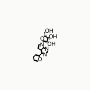 OC[C@H]1O[C@@H](n2ccc3c(C4=CCC=CO4)ncnc32)[C@H](O)[C@@H]1O